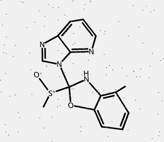 Cc1cccc2c1NC(n1cnc3cccnc31)([S+](C)[O-])O2